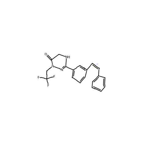 O=C1CNC(c2cccc(/C=C\c3ccccc3)c2)=NN1CC(F)(F)F